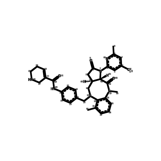 Cc1cc(C(F)(F)F)cc(N2C(=O)C[C@@H]3CN(Cc4ccc(NC(=O)C5=CCCNC5)cc4)c4c(C)cccc4N(C)C(=O)[C@H]32)n1